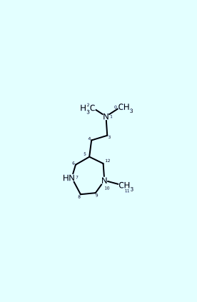 CN(C)CCC1CNCCN(C)C1